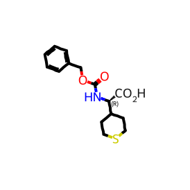 O=C(N[C@@H](C(=O)O)C1CCSCC1)OCc1ccccc1